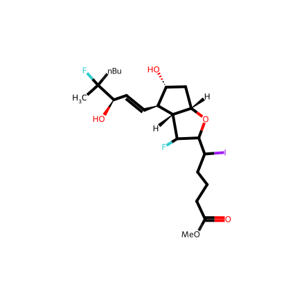 CCCCC(C)(F)[C@H](O)/C=C/[C@@H]1[C@H]2C(F)C(C(I)CCCC(=O)OC)O[C@H]2C[C@H]1O